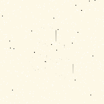 C=CC1=C(C=C)[Si]2(CCCC2)c2ccccc2N1